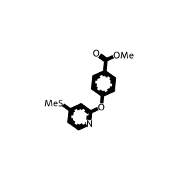 COC(=O)c1ccc(Oc2cc(SC)ccn2)cc1